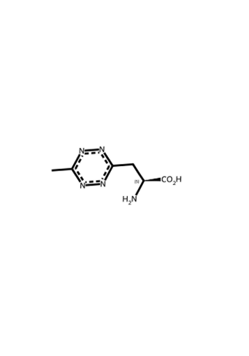 Cc1nnc(C[C@H](N)C(=O)O)nn1